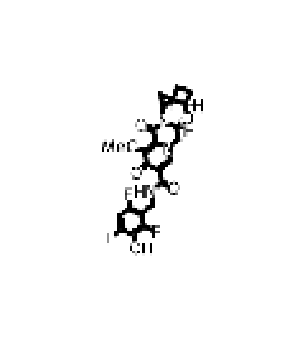 COc1c2n(cc(C(=O)NCc3c(F)cc(F)c(O)c3F)c1=O)C[C@H]1O[C@@H]3CCC34C[C@H]4N1C2=O